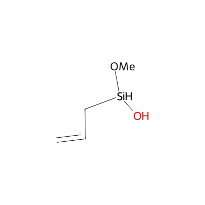 C=CC[SiH](O)OC